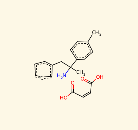 Cc1ccc(C(C)(N)Cc2ccccc2)cc1.O=C(O)/C=C\C(=O)O